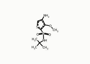 COc1c(N)csc1S(=O)(=O)NC(C)(C)C